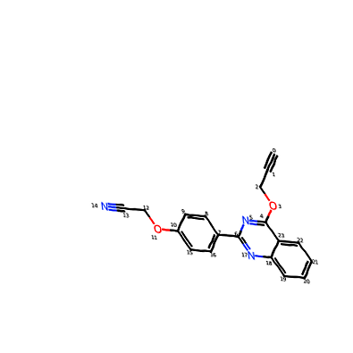 C#CCOc1nc(-c2ccc(OCC#N)cc2)nc2ccccc12